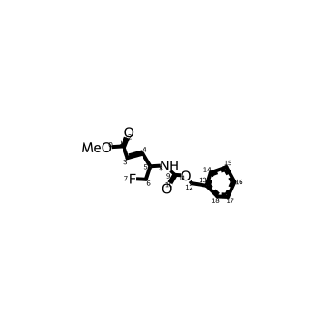 COC(=O)C=CC(CF)NC(=O)OCc1ccccc1